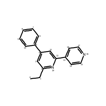 CCc1cc(-c2ccccc2)cc(-c2ccncc2)n1